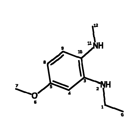 CCNc1cc(OC)ccc1NC